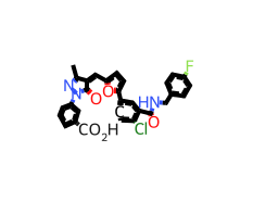 CC1=NN(c2cccc(C(=O)O)c2)C(=O)/C1=C\c1ccc(-c2ccc(Cl)c(C(=O)NCc3ccc(F)cc3)c2)o1